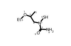 CCOC(C)CN(S)C(N)=O